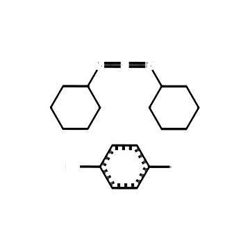 C(=NC1CCCCC1)=NC1CCCCC1.Oc1ccc(Cl)cc1